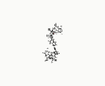 COC(=O)NC(C(=O)N1[C@H](c2nc(-c3ccc4cc(C#Cc5c[nH]c([C@@H]6C[C@H]7[C@@H](C)[C@H]7N6C(=O)C(NC(=O)OC)[C@H]6C[C@@H](C)O[C@@H](C)C6)n5)ccc4c3)c[nH]2)C2[C@@H]3[C@H]1[C@]23C)[C@H]1C[C@@H](C)O[C@@H](C)C1